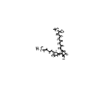 CCCCCC(O)CCN1C(=O)CSC1CCCCCCCC(=O)O